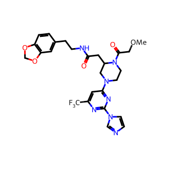 COCC(=O)N1CCN(c2cc(C(F)(F)F)nc(-n3ccnc3)n2)CC1CC(=O)NCCc1ccc2c(c1)OCO2